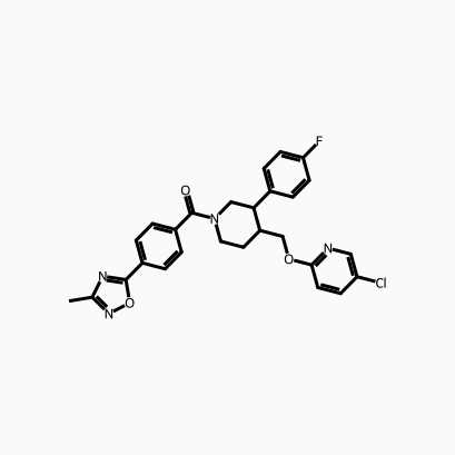 Cc1noc(-c2ccc(C(=O)N3CCC(COc4ccc(Cl)cn4)C(c4ccc(F)cc4)C3)cc2)n1